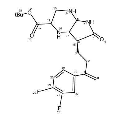 C=C(CC[C@@H]1C(=O)NC2NCC(C(=O)OC(C)(C)C)NC21)c1ccc(F)c(F)c1